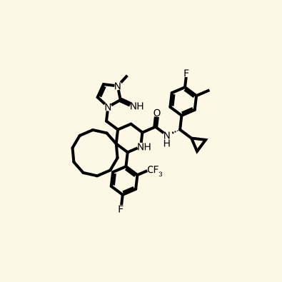 Cc1cc([C@@H](NC(=O)C2CC(Cn3ccn(C)c3=N)C3(CCCCCCCCC3)C(c3ccc(F)cc3C(F)(F)F)N2)C2CC2)ccc1F